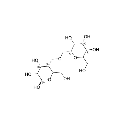 OCC1O[C@@H](O)C(O)[C@H](O)[C@@H]1COC[C@H]1OC(CO)[C@H](O)[C@@H](O)C1O